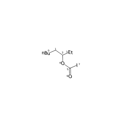 CCCCCC(CC)OC(=O)I